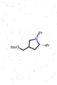 COCC1C[C@@H](C(C)C)N(C(C)C)C1